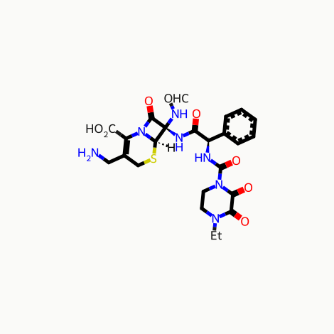 CCN1CCN(C(=O)N[C@@H](C(=O)N[C@]2(NC=O)C(=O)N3C(C(=O)O)=C(CN)CS[C@@H]32)c2ccccc2)C(=O)C1=O